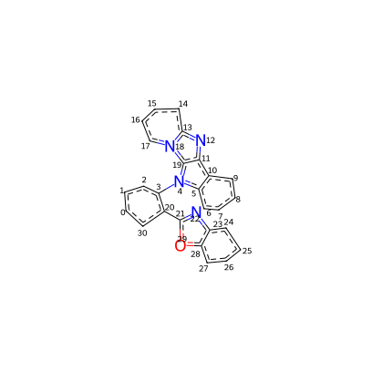 c1ccc(-n2c3ccccc3c3nc4ccccn4c32)c(-c2nc3ccccc3o2)c1